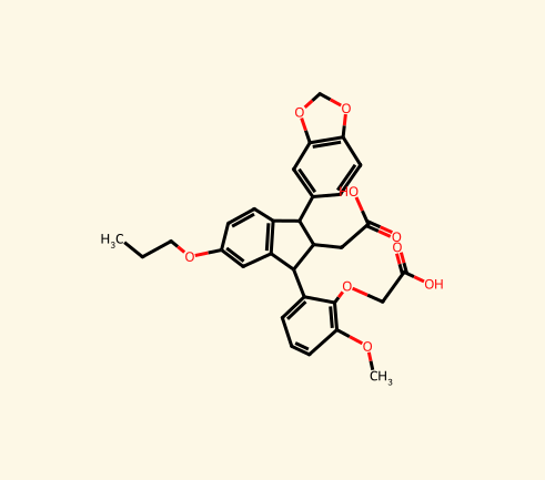 CCCOc1ccc2c(c1)C(c1cccc(OC)c1OCC(=O)O)C(CC(=O)O)C2c1ccc2c(c1)OCO2